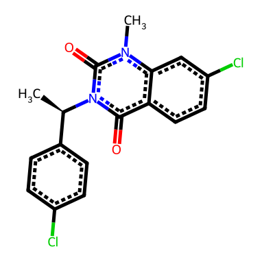 C[C@H](c1ccc(Cl)cc1)n1c(=O)c2ccc(Cl)cc2n(C)c1=O